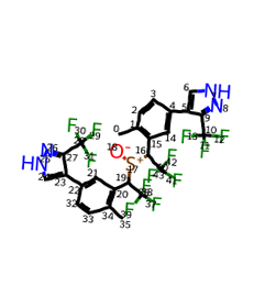 Cc1ccc(-c2c[nH]nc2C(F)(F)F)cc1C([S+]([O-])C(c1cc(-c2c[nH]nc2C(F)(F)F)ccc1C)C(F)(F)F)C(F)(F)F